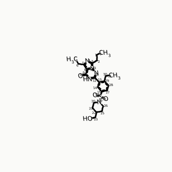 CCCc1nc(CC)c2c(=O)[nH]c(-c3cc(S(=O)(=O)N4CCC(CO)CC4)ccc3CC)nn12